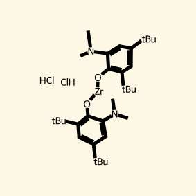 CN(C)c1cc(C(C)(C)C)cc(C(C)(C)C)c1[O][Zr][O]c1c(N(C)C)cc(C(C)(C)C)cc1C(C)(C)C.Cl.Cl